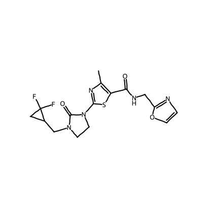 Cc1nc(N2CCN(CC3CC3(F)F)C2=O)sc1C(=O)NCc1ncco1